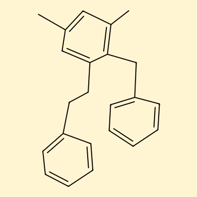 Cc1cc(C)c(Cc2ccccc2)c(CCc2ccccc2)c1